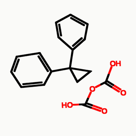 O=C(O)OC(=O)O.c1ccc(C2(c3ccccc3)CC2)cc1